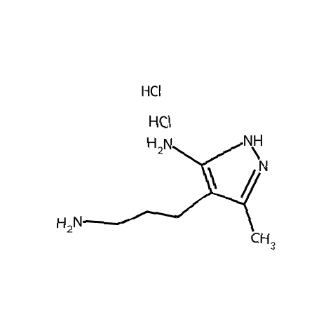 Cc1n[nH]c(N)c1CCCN.Cl.Cl